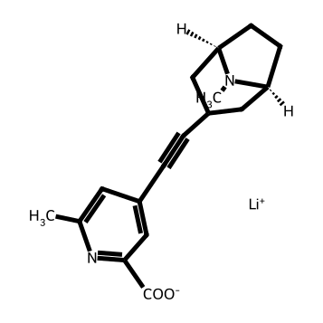 Cc1cc(C#CC2C[C@H]3CC[C@@H](C2)N3C)cc(C(=O)[O-])n1.[Li+]